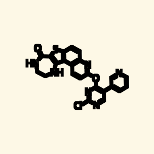 O=C1NCCNc2c1sc1ccc3nc(Oc4nc(Cl)ncc4-c4cccnc4)ccc3c21